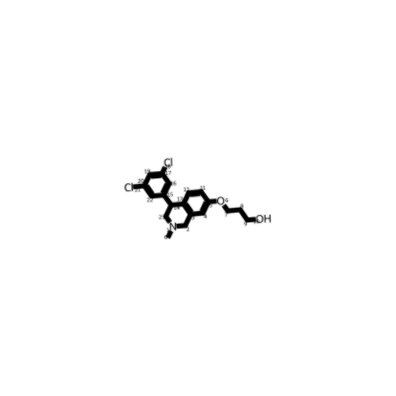 CN1Cc2cc(OCCCO)ccc2C(c2cc(Cl)cc(Cl)c2)C1